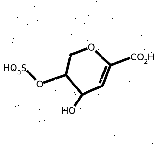 O=C(O)C1=CC(O)C(OS(=O)(=O)O)CO1